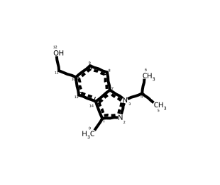 Cc1nn(C(C)C)c2ccc(CO)cc12